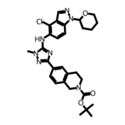 Cn1nc(-c2ccc3c(c2)CCN(C(=O)OC(C)(C)C)C3)nc1Nc1ccc2c(cnn2C2CCCCO2)c1Cl